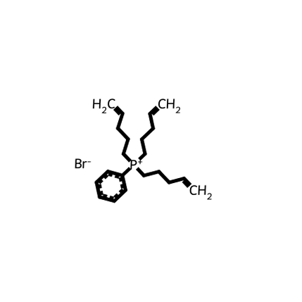 C=CCCC[P+](CCCC=C)(CCCC=C)c1ccccc1.[Br-]